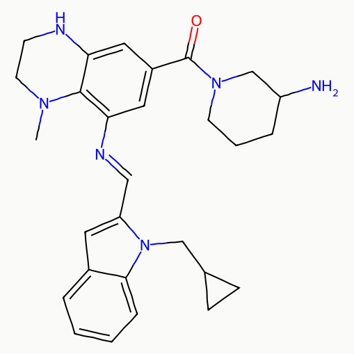 CN1CCNc2cc(C(=O)N3CCCC(N)C3)cc(/N=C/c3cc4ccccc4n3CC3CC3)c21